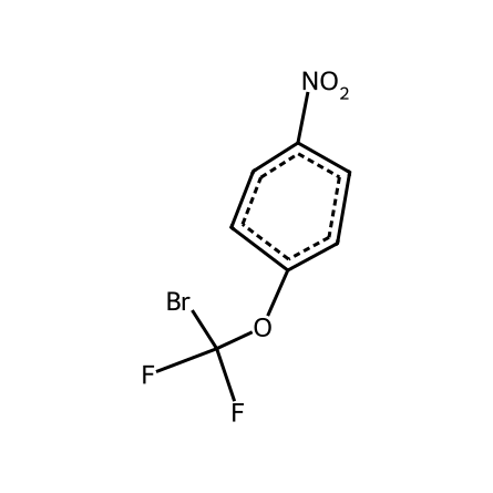 O=[N+]([O-])c1ccc(OC(F)(F)Br)cc1